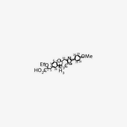 CCOC(Cc1ccc(OCCc2nc(-c3ccc(OC)cc3)sc2C)c(C)c1)C(=O)O